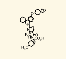 CC1CC2CC(C1)C(NC(=O)c1cnc(N3CC4(CCCCC4)c4cc(OC5CCC6(CC5)COC6)ccc43)nc1C(F)(F)F)(C(=O)O)C2